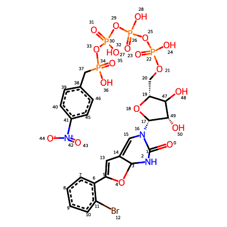 O=C1NC2OC(c3ccccc3Br)=CC2=CN1[C@@H]1O[C@H](COP(=O)(O)OP(=O)(O)OP(=O)(O)OP(=O)(O)Cc2ccc([N+](=O)[O-])cc2)C(O)[C@@H]1O